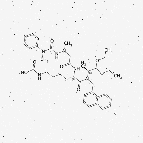 CCOC(OCC)[C@H](C)N(Cc1cccc2ccccc12)C(=O)[C@H](CCCCNC(=O)O)NC(=O)CN(C)NC(=O)N(C)c1ccncc1